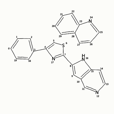 c1ccc(-c2csc(-c3cc4cnccc4[nH]3)n2)cc1.c1ccc2ncccc2c1